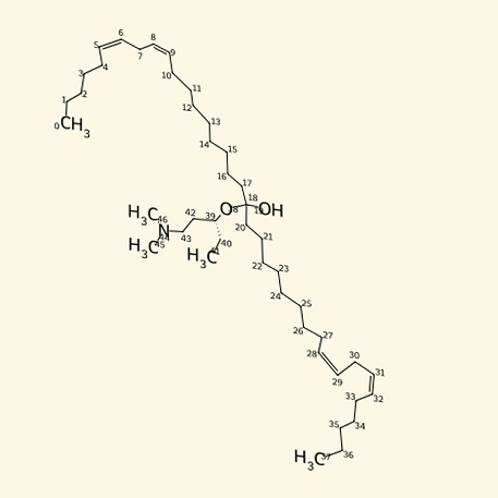 CCCCC/C=C\C/C=C\CCCCCCCCC(O)(CCCCCCCC/C=C\C/C=C\CCCCC)O[C@H](CC)CCN(C)C